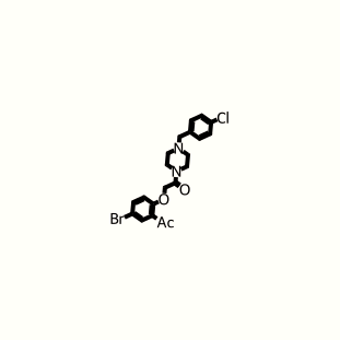 CC(=O)c1cc(Br)ccc1OCC(=O)N1CCN(Cc2ccc(Cl)cc2)CC1